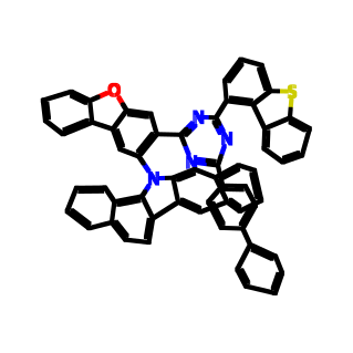 c1ccc(-c2ccc(-c3nc(-c4cc5oc6ccccc6c5cc4-n4c5cc6ccccc6cc5c5ccc6ccccc6c54)nc(-c4cccc5sc6ccccc6c45)n3)cc2)cc1